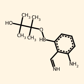 CC(C)(O)C(C)(C)OBc1cccc(N)c1C=N